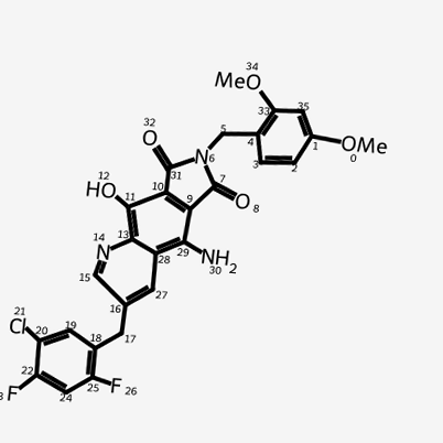 COc1ccc(CN2C(=O)c3c(c(O)c4ncc(Cc5cc(Cl)c(F)cc5F)cc4c3N)C2=O)c(OC)c1